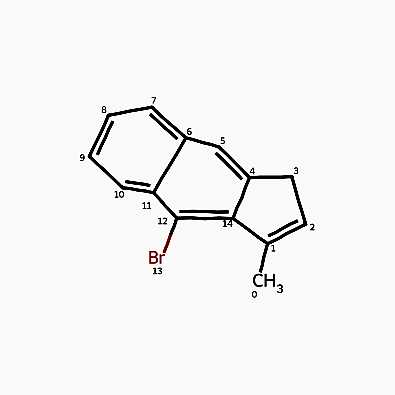 CC1=CCc2cc3ccccc3c(Br)c21